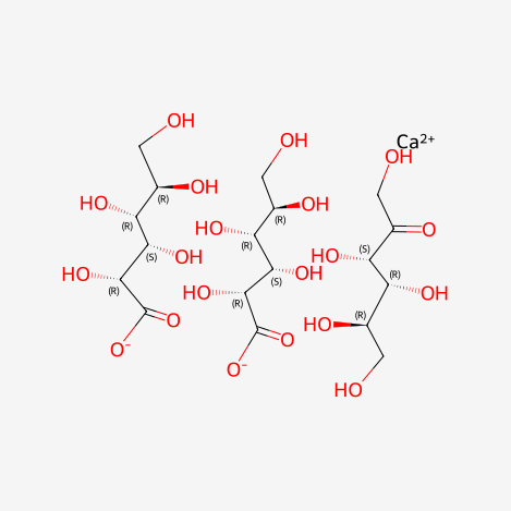 O=C(CO)[C@@H](O)[C@H](O)[C@H](O)CO.O=C([O-])[C@H](O)[C@@H](O)[C@H](O)[C@H](O)CO.O=C([O-])[C@H](O)[C@@H](O)[C@H](O)[C@H](O)CO.[Ca+2]